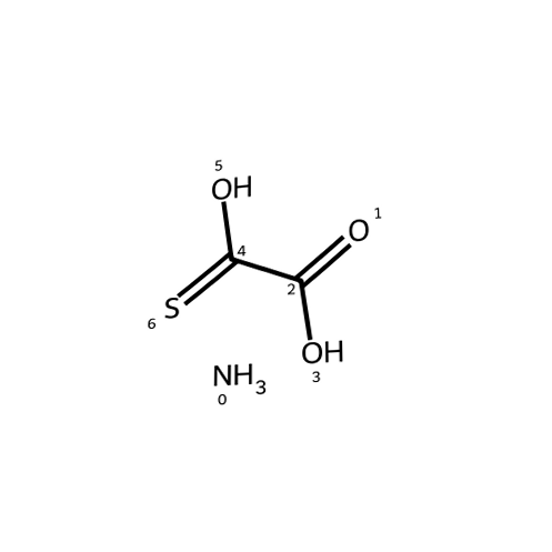 N.O=C(O)C(O)=S